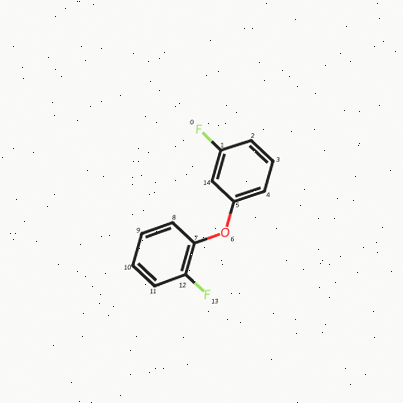 Fc1cccc(Oc2ccc[c]c2F)c1